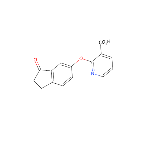 O=C1CCc2ccc(Oc3ncccc3C(=O)O)cc21